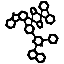 c1ccc(-c2cc(-c3ccc4c(c3)C3(c5ccccc5C5(c6ccccc6-c6ccccc65)c5ccccc53)c3ccc5sc6ccccc6c5c3-4)nc(-c3cccc4ccccc34)n2)cc1